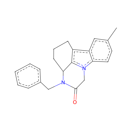 Cc1ccc2c(c1)c1c3n2CC(=O)N(Cc2ccccc2)C3CCC1